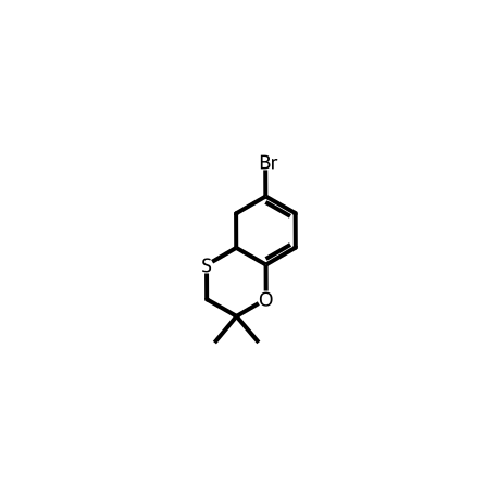 CC1(C)CSC2CC(Br)=CC=C2O1